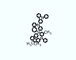 Cc1cc(N(c2ccccc2)c2ccc3c(c2)-c2ccccc2C3(C)C)cc([Si](C2=CC=CCC=C2)(c2ccccc2)c2cccc(N(c3ccccc3)c3ccc4c(c3)c3ccccc3n4-c3ccccc3)c2)c1